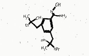 CCCC(C)(CCC)Cc1cc(CC(C)(C)CC)cc(/C(N)=N/O)c1